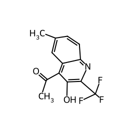 CC(=O)c1c(O)c(C(F)(F)F)nc2ccc(C)cc12